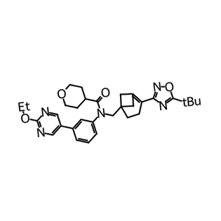 CCOc1ncc(-c2cccc(N(CC34CCC(c5noc(C(C)(C)C)n5)=C(C3)C4)C(=O)C3CCOCC3)c2)cn1